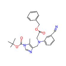 Cc1c(CN(CC(=O)OCc2ccccc2)c2cccc(C#N)c2)ncn1C(=O)OC(C)(C)C